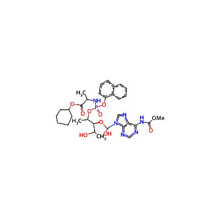 COC(=O)Nc1ncnc2c1ncn2C(O)O[C@@H](C(C)O)C(C)OP(=O)(NC(C)C(=O)OC1CCCCC1)Oc1cccc2ccccc12